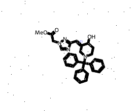 COC(=O)Cn1cnc(/C=C2\CN(C(c3ccccc3)(c3ccccc3)c3ccccc3)CCC2O)n1